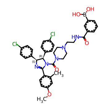 COc1ccc(C2=N[C@@H](c3ccc(Cl)cc3)[C@@H](c3ccc(Cl)cc3)N2C(=O)N2CCN(CCNC(=O)c3cccc(B(O)O)c3)CC2)c(C)c1